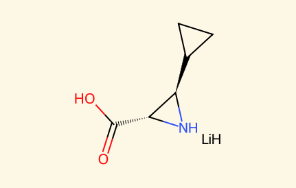 O=C(O)[C@H]1N[C@@H]1C1CC1.[LiH]